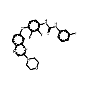 O=C(Nc1cccc(F)c1)Nc1ccc(Oc2ccc3ncc(N4CCOCC4)nc3c2)c(F)c1F